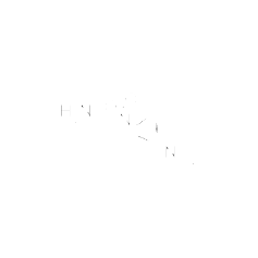 NCc1ccc(N2CC(CN)OC2=O)cc1